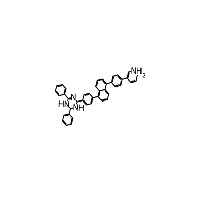 C/C=C\C(=C/N)c1ccc(-c2cccc3c(-c4ccc(C5N=C(c6ccccc6)NC(c6ccccc6)N5)cc4)cccc23)cc1